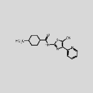 N#Cc1sc(NC(=O)C2CCC(C(=O)O)CC2)nc1-c1ccccn1